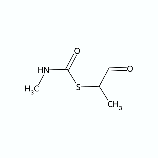 CNC(=O)SC(C)C=O